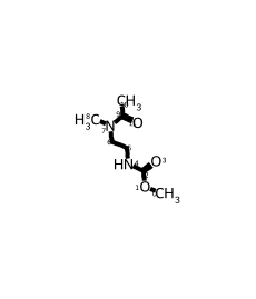 COC(=O)NCCN(C)C(C)=O